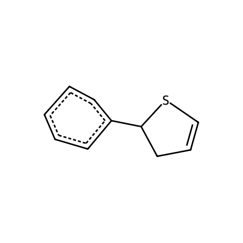 C1=CSC(c2ccccc2)C1